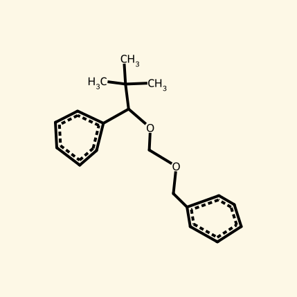 CC(C)(C)C(OCOCc1ccccc1)c1ccccc1